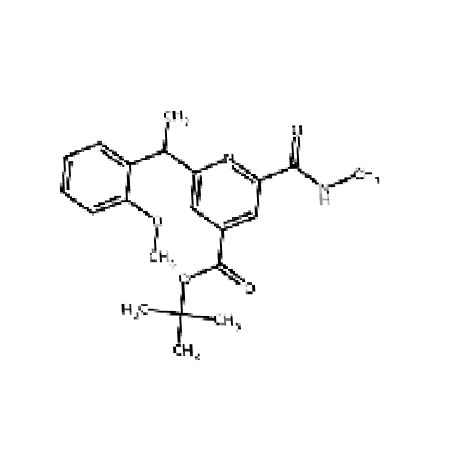 CNC(=O)c1cc(C(=O)OC(C)(C)C)cc(C(C)c2ccccc2OC)n1